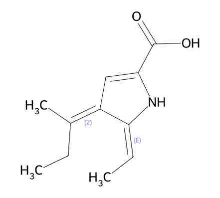 C/C=c1/[nH]c(C(=O)O)c/c1=C(\C)CC